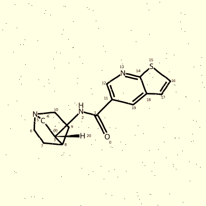 O=C(N[C@H]1CN2CCC1CC2)c1cnc2sccc2c1